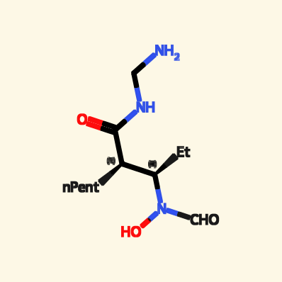 CCCCC[C@@H](C(=O)NCN)[C@@H](CC)N(O)C=O